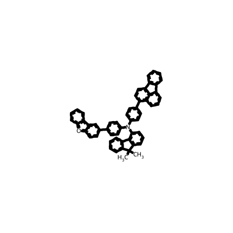 CC1(C)c2ccccc2-c2c(N(c3ccc(-c4ccc5oc6ccccc6c5c4)cc3)c3ccc(-c4ccc5c6c(cccc46)-c4ccccc4-5)cc3)cccc21